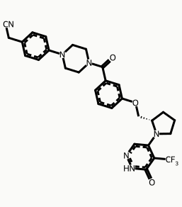 N#CCc1ccc(N2CCN(C(=O)c3cccc(OC[C@@H]4CCCN4c4cn[nH]c(=O)c4C(F)(F)F)c3)CC2)cc1